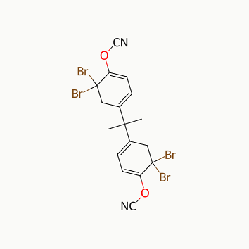 CC(C)(C1=CC=C(OC#N)C(Br)(Br)C1)C1=CC=C(OC#N)C(Br)(Br)C1